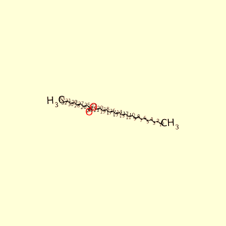 CCCCCCCCC=CCCCCCCCCCCCCOC(=O)CCCCCCCCC